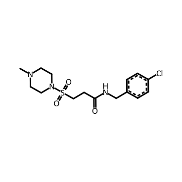 CN1CCN(S(=O)(=O)CCC(=O)NCc2ccc(Cl)cc2)CC1